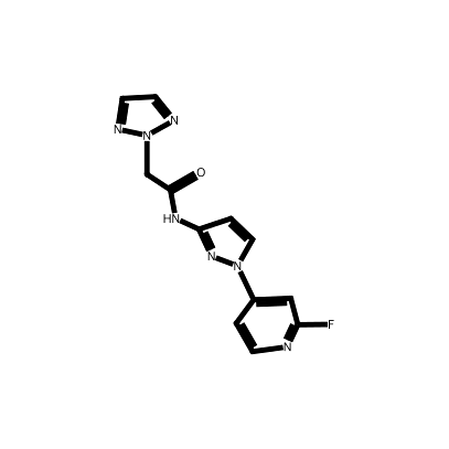 O=C(Cn1nccn1)Nc1ccn(-c2ccnc(F)c2)n1